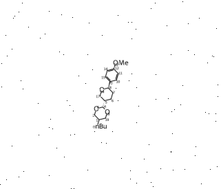 CCCCC1COC([C@H]2CC[C@H](c3ccc(OC)cc3)OC2)OC1